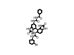 O=C(NC(=O)c1ccccc1)Nc1cc(-c2c(NC(=O)Nc3cccc(Br)c3)ccc3[nH]c(=O)[nH]c23)c2[nH]c(=O)[nH]c2c1